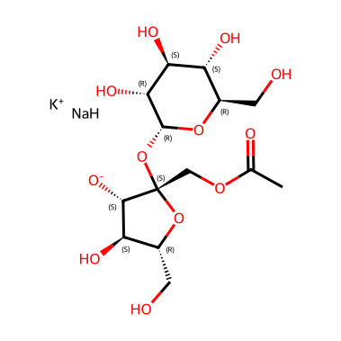 CC(=O)OC[C@@]1(O[C@H]2O[C@H](CO)[C@@H](O)[C@H](O)[C@H]2O)O[C@H](CO)[C@@H](O)[C@@H]1[O-].[K+].[NaH]